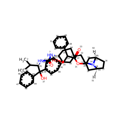 CC(C)[C@H](NC(=O)N[C@H]1CC[C@H](CCN2[C@@H]3CC[C@H]2CC(OC(=O)C(CO)c2ccccc2)C3)CC1)C(O)(c1ccccc1)c1ccccc1